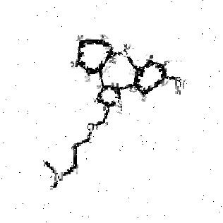 CN(C)CCCOCc1cc2c(s1)-c1cc(Br)ccc1Sc1ccccc1-2